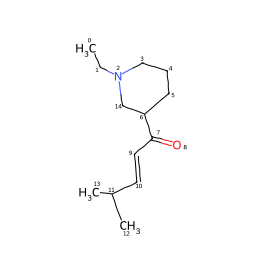 CCN1CCCC(C(=O)/C=C/C(C)C)C1